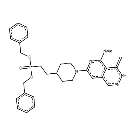 CNc1nc(N2CCC(CCP(=O)(OCc3ccccc3)OCc3ccccc3)CC2)cc2cn[nH]c(=O)c12